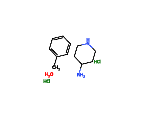 Cc1ccccc1.Cl.Cl.NC1CCNCC1.O